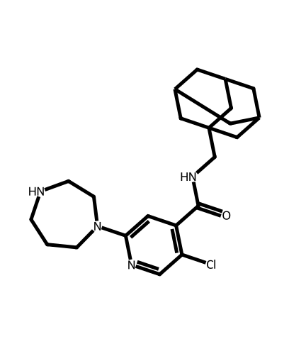 O=C(NCC12CC3CC(CC(C3)C1)C2)c1cc(N2CCCNCC2)ncc1Cl